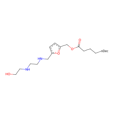 CCCCCCCCCCCCCC(=O)OCc1ccc(CNCCNCCO)o1